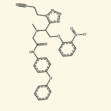 CN(CC(=O)Nc1ccc(Oc2ccccc2)cc1)C(COc1ccccc1[N+](=O)[O-])c1nnnn1CCC#N